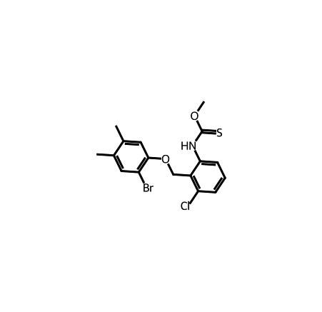 COC(=S)Nc1cccc(Cl)c1COc1cc(C)c(C)cc1Br